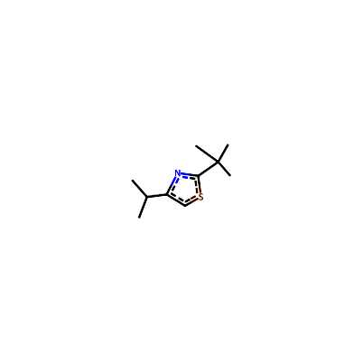 CC(C)c1csc(C(C)(C)C)n1